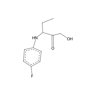 CCC(Nc1ccc(F)cc1)C(=O)CO